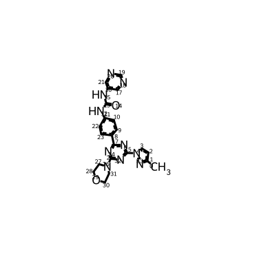 Cc1ccn(-c2nc(-c3ccc(NC(=O)Nc4cncnc4)cc3)nc(N3CCOCC3)n2)n1